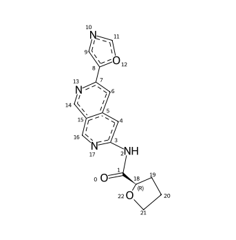 O=C(Nc1cc2cc(-c3cnco3)ncc2cn1)[C@H]1CCCO1